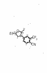 CC[C@@H]1CN(c2ccc(C#N)c(C(F)(F)F)c2)[C@H](C)O1